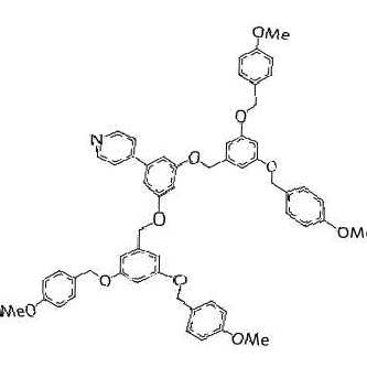 COc1ccc(COc2cc(COc3cc(OCc4cc(OCc5ccc(OC)cc5)cc(OCc5ccc(OC)cc5)c4)cc(-c4ccncc4)c3)cc(OCc3ccc(OC)cc3)c2)cc1